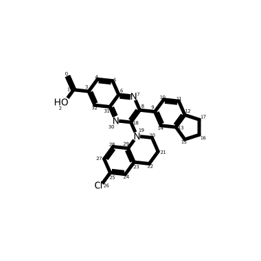 C=C(O)c1ccc2nc(-c3ccc4c(c3)CCC4)c(N3CCCc4cc(Cl)ccc43)nc2c1